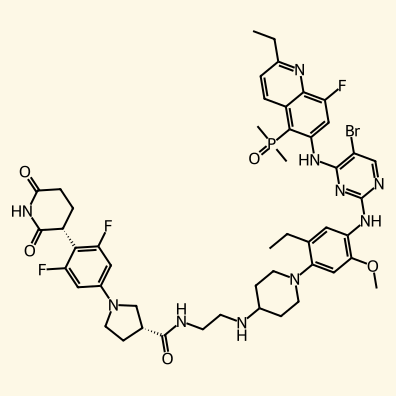 CCc1ccc2c(P(C)(C)=O)c(Nc3nc(Nc4cc(CC)c(N5CCC(NCCNC(=O)[C@@H]6CCN(c7cc(F)c([C@H]8CCC(=O)NC8=O)c(F)c7)C6)CC5)cc4OC)ncc3Br)cc(F)c2n1